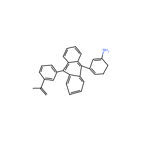 C=C(C)c1cccc(-c2c3ccccc3c(C3=CCCC(N)=C3)c3ccccc23)c1